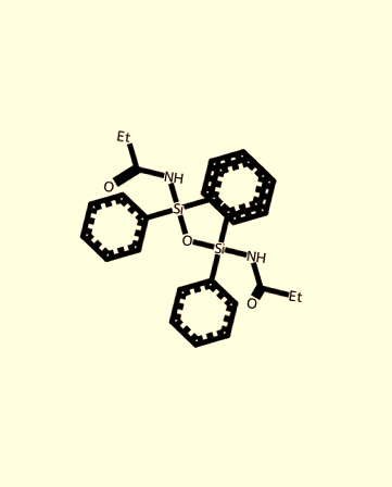 CCC(=O)N[Si](O[Si](NC(=O)CC)(c1ccccc1)c1ccccc1)(c1ccccc1)c1ccccc1